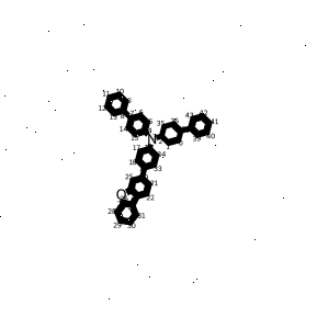 C1=CC(N(c2ccc(-c3ccccc3)cc2)c2ccc(-c3ccc4c(c3)oc3ccccc34)cc2)CC=C1c1ccccc1